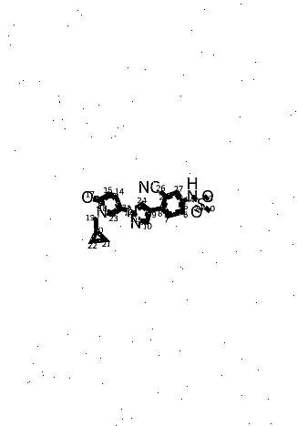 CS(=O)(=O)Nc1ccc(-c2cnn(-c3ccc(=O)n(CC4CC4)c3)c2)c(C#N)c1